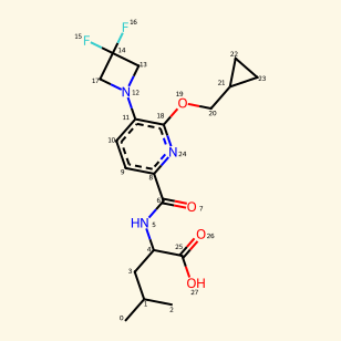 CC(C)CC(NC(=O)c1ccc(N2CC(F)(F)C2)c(OCC2CC2)n1)C(=O)O